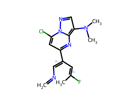 C=N/C=C(\C=C(/C)F)c1cc(Cl)n2ncc(N(C)C)c2n1